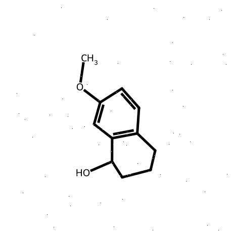 COc1ccc2c(c1)C(O)CCC2